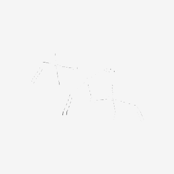 C=C[Si](C)(C)O[Si](C=C)(OC)O[Si](C)(C)C=C